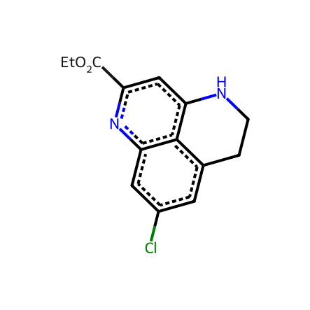 CCOC(=O)c1cc2c3c(cc(Cl)cc3n1)CCN2